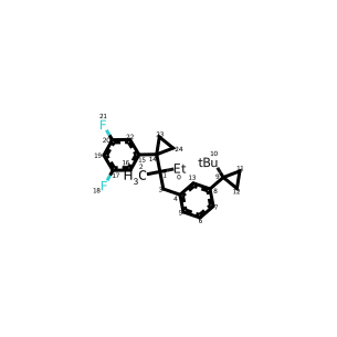 CCC(C)(Cc1cccc(C2(C(C)(C)C)CC2)c1)C1(c2cc(F)cc(F)c2)CC1